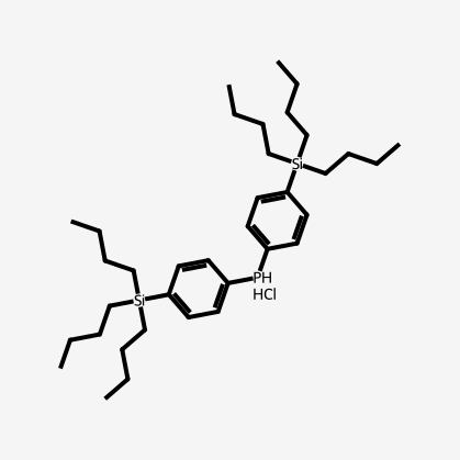 CCCC[Si](CCCC)(CCCC)c1ccc(Pc2ccc([Si](CCCC)(CCCC)CCCC)cc2)cc1.Cl